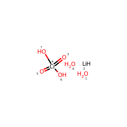 O.O.[LiH].[O]=[Cr](=[O])([OH])[OH]